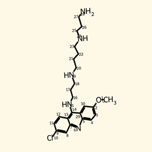 COc1ccc2nc3cc(Cl)ccc3c(NCCCNCCCCNCCCN)c2c1